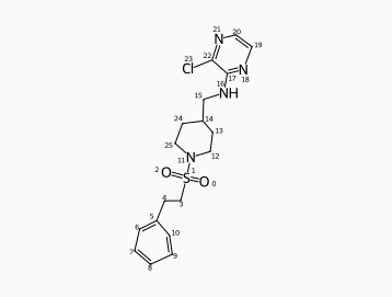 O=S(=O)(CCc1ccccc1)N1CCC(CNc2nccnc2Cl)CC1